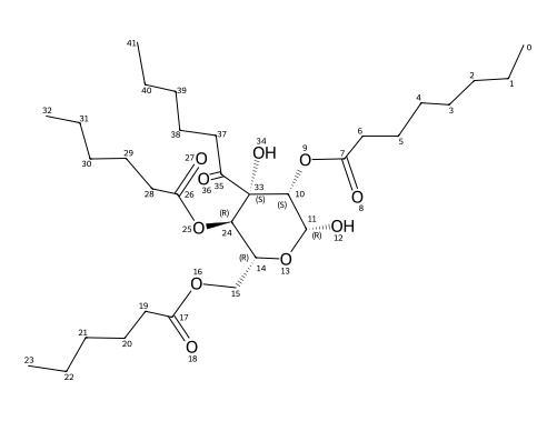 CCCCCCCC(=O)O[C@@H]1[C@H](O)O[C@H](COC(=O)CCCCC)[C@@H](OC(=O)CCCCC)[C@@]1(O)C(=O)CCCCC